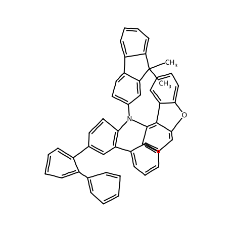 CC1(C)c2ccccc2-c2ccc(N(c3ccc(-c4ccccc4-c4ccccc4)cc3-c3ccccc3)c3cccc4oc5ccccc5c34)cc21